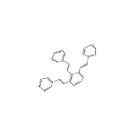 [c]1cc(/C=C/c2ccccc2)c(/C=C/c2ccccc2)c(/C=C/c2ccccc2)c1